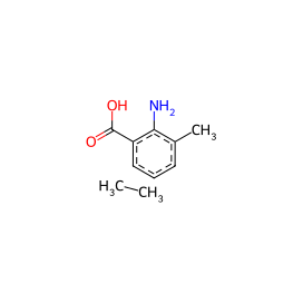 CC.Cc1cccc(C(=O)O)c1N